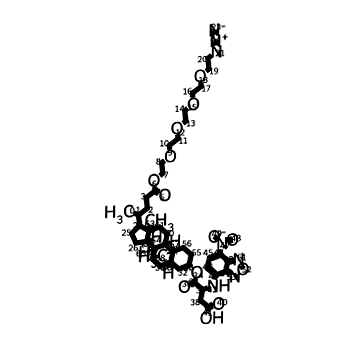 CC(CCC(=O)OCCOCCOCCOCCOCCN=[N+]=[N-])C1CC[C@H]2[C@@H]3CC[C@@H]4C[C@H](OC(=O)C(CC(=O)O)Nc5ccc([N+](=O)[O-])c6nonc56)CC[C@]4(C)[C@H]3CC[C@]12C